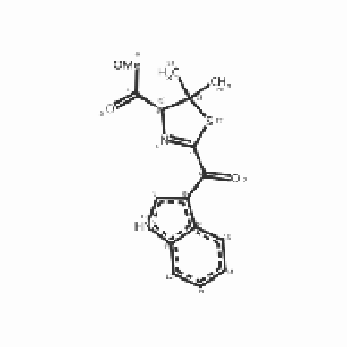 COC(=O)[C@@H]1N=C(C(=O)c2c[nH]c3ccccc23)SC1(C)C